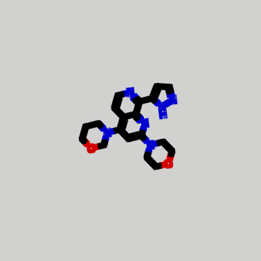 c1cc(-c2nccc3c(N4CCCOC4)cc(N4CCOCC4)nc23)[nH]n1